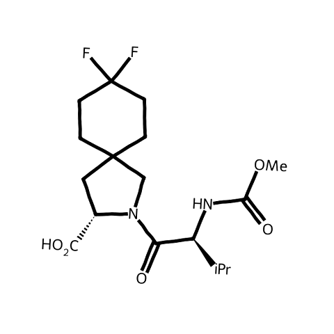 COC(=O)N[C@H](C(=O)N1CC2(CCC(F)(F)CC2)C[C@H]1C(=O)O)C(C)C